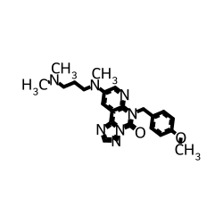 COc1ccc(Cn2c(=O)n3ncnc3c3cc(N(C)CCCN(C)C)cnc32)cc1